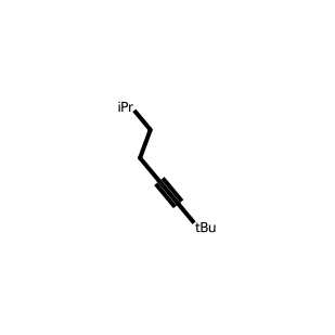 CC(C)CCC#CC(C)(C)C